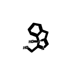 OCC1=NC=C2Cc3ccccc3[N+]21O